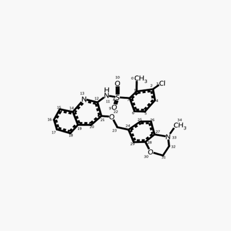 Cc1c(Cl)cccc1S(=O)(=O)Nc1nc2ccccc2cc1OCc1ccc2c(c1)OCCN2C